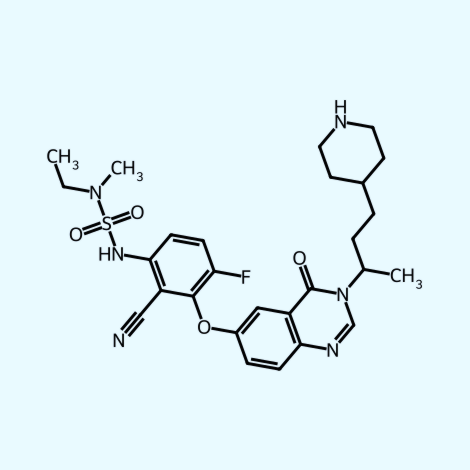 CCN(C)S(=O)(=O)Nc1ccc(F)c(Oc2ccc3ncn(C(C)CCC4CCNCC4)c(=O)c3c2)c1C#N